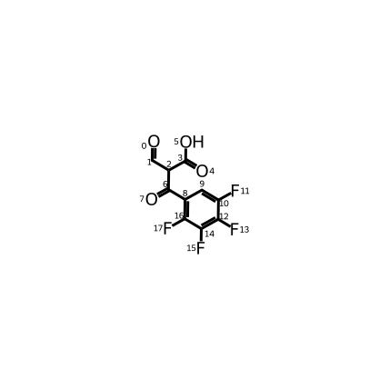 O=CC(C(=O)O)C(=O)c1cc(F)c(F)c(F)c1F